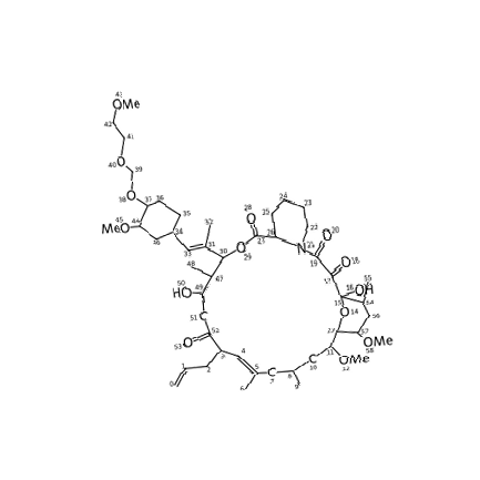 C=CCC1/C=C(\C)CC(C)CC(OC)C2OC(O)(C(=O)C(=O)N3CCCCC3C(=O)OC(C(C)=CC3CCC(OCOCCOC)C(OC)C3)C(C)C(O)CC1=O)C(C)CC2OC